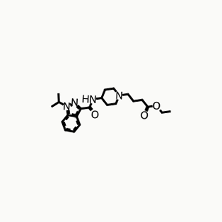 CCOC(=O)CCCN1CCC(NC(=O)c2nn(C(C)C)c3ccccc23)CC1